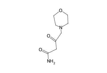 NC(=O)CC(=O)CN1CCOCC1